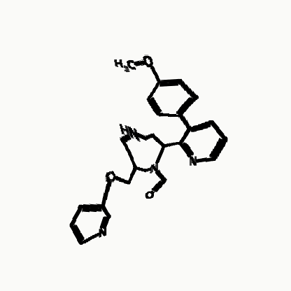 COc1ccc(-c2cccnc2C2CNCC(COc3cccnc3)N2C=O)cc1